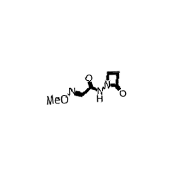 CON=CC(=O)NN1CCC1=O